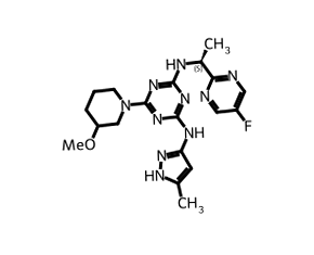 COC1CCCN(c2nc(Nc3cc(C)[nH]n3)nc(N[C@@H](C)c3ncc(F)cn3)n2)C1